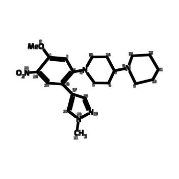 COc1cc(N2CCC(N3CCCCC3)CC2)c(-c2cnn(C)c2)cc1[N+](=O)[O-]